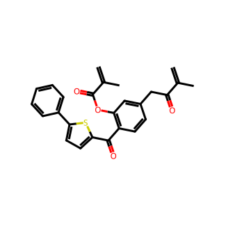 C=C(C)C(=O)Cc1ccc(C(=O)c2ccc(-c3ccccc3)s2)c(OC(=O)C(=C)C)c1